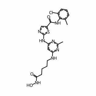 Cc1nc(NCCCCC(=O)NO)cc(Nc2ncc(C(=O)Nc3c(C)cccc3Cl)s2)n1